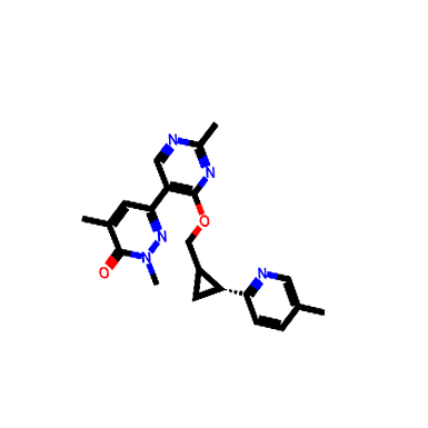 Cc1ccc([C@@H]2CC2COc2nc(C)ncc2-c2cc(C)c(=O)n(C)n2)nc1